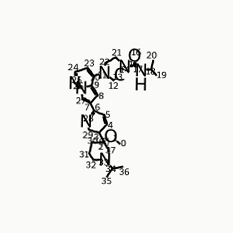 CO[C@@]1(C2C=CC(c3cc4c(N5CCN(C(=O)NC(C)C)CC5)ccnn4c3)=NC2)CCCN(C(C)C)C1